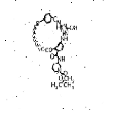 CC(C)(C)OC(=O)N1CCCC(NC(=O)c2ccc3cc2OCCCCCCCCOc2ccc(cc2)CNc2nc(O)nc(n2)N3)C1